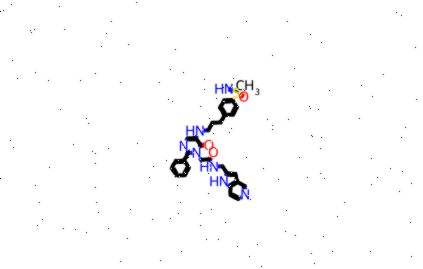 CS(=N)(=O)c1ccc(CCCNc2cnc(-c3ccccc3)n(CC(=O)NCc3cc4cnccc4[nH]3)c2=O)cc1